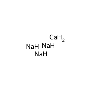 [CaH2].[NaH].[NaH].[NaH]